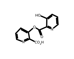 O=C(Oc1cccnc1C(=O)O)c1ncccc1O